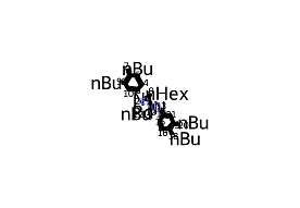 CCCCCCC(=N\c1ccc(CCCC)c(CCCC)c1)/C(CCCC)=N/c1ccc(CCCC)c(CCCC)c1.[Pd]